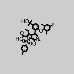 CCc1c(C(=O)O)n(S(=O)(=O)c2ccc(C)cc2)c2c(=O)n(C)cc(-c3cc(C(C)(C)O)ccc3Oc3c(C)cc(F)cc3C)c12